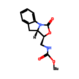 CC(C)(C)OC(=O)NC[C@@H]1OC(=O)N2c3ccccc3C[C@@H]12